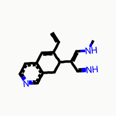 C=CC1=Cc2ccncc2CC1/C(C=N)=C/NC